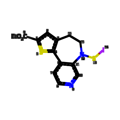 CCOC(=O)c1cc2c(s1)-c1ccncc1N(SI)CC2